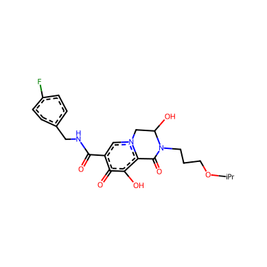 CC(C)OCCCN1C(=O)c2c(O)c(=O)c(C(=O)NCc3ccc(F)cc3)cn2CC1O